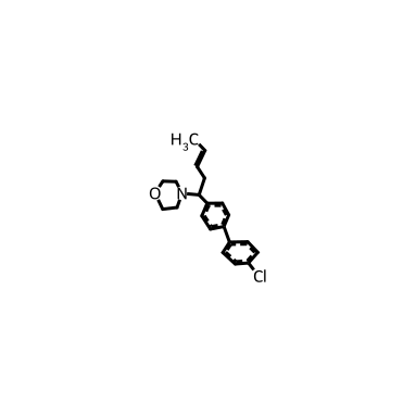 CC=CCC(c1ccc(-c2ccc(Cl)cc2)cc1)N1CCOCC1